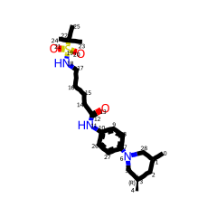 CC1C[C@@H](C)CN(c2ccc(NC(=O)CCCCNS(=O)(=O)C(C)(C)C)cc2)C1